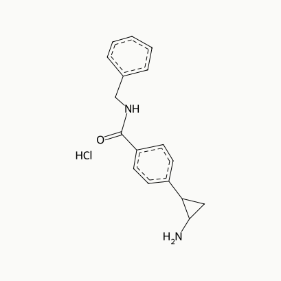 Cl.NC1CC1c1ccc(C(=O)NCc2ccccc2)cc1